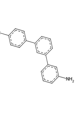 Nc1cccc(-c2cccc(-c3ccc(I)cc3)c2)c1